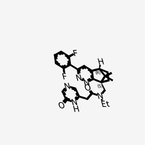 CCN(C[C@@]12CC[C@@H](c3cc(-c4c(F)cccc4F)nnc31)C2(C)C)C(=O)Cc1cncc(=O)[nH]1